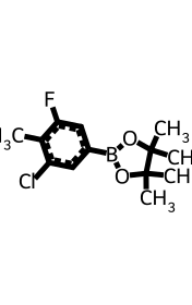 Cc1c(F)cc(B2OC(C)(C)C(C)(C)O2)cc1Cl